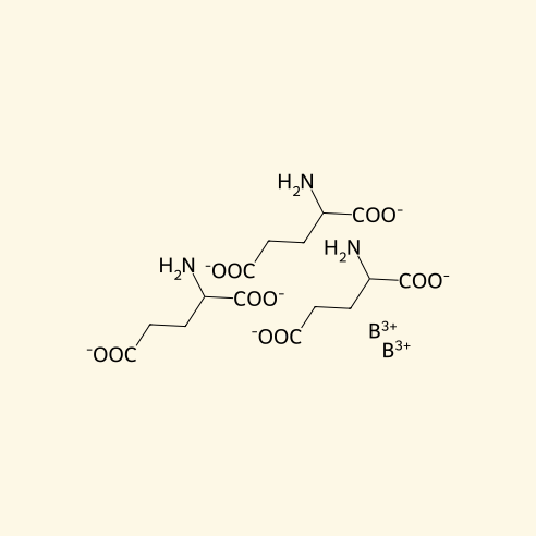 NC(CCC(=O)[O-])C(=O)[O-].NC(CCC(=O)[O-])C(=O)[O-].NC(CCC(=O)[O-])C(=O)[O-].[B+3].[B+3]